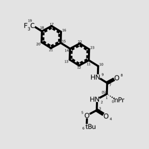 CCC[C@H](NC(=O)OC(C)(C)C)C(=O)NCc1ccc(-c2ccc(C(F)(F)F)cc2)cc1